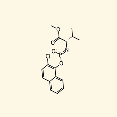 COC(=O)[C@@H](/N=[P+](\[O-])Oc1c(Cl)ccc2ccccc12)C(C)C